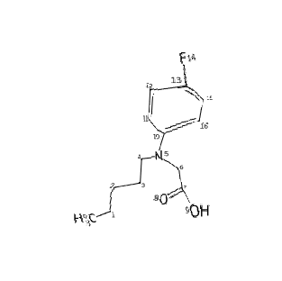 CCCCCN(CC(=O)O)c1ccc(F)cc1